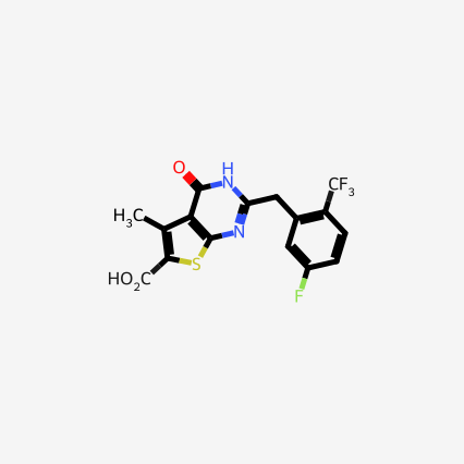 Cc1c(C(=O)O)sc2nc(Cc3cc(F)ccc3C(F)(F)F)[nH]c(=O)c12